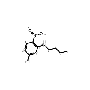 CCCCNc1nc(Cl)ncc1[N+](=O)[O-]